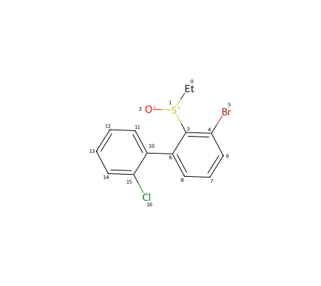 CC[S+]([O-])c1c(Br)cccc1-c1ccccc1Cl